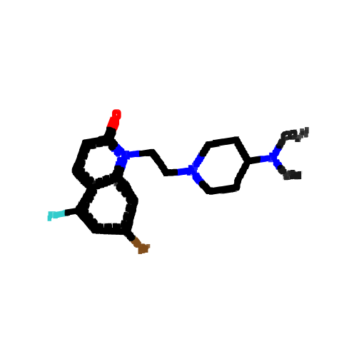 CC(C)(C)N(C(=O)O)C1CCN(CCn2c(=O)ccc3c(F)cc(Br)cc32)CC1